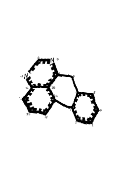 c1ccc2c(c1)Cc1ncnc3cccc-2c13